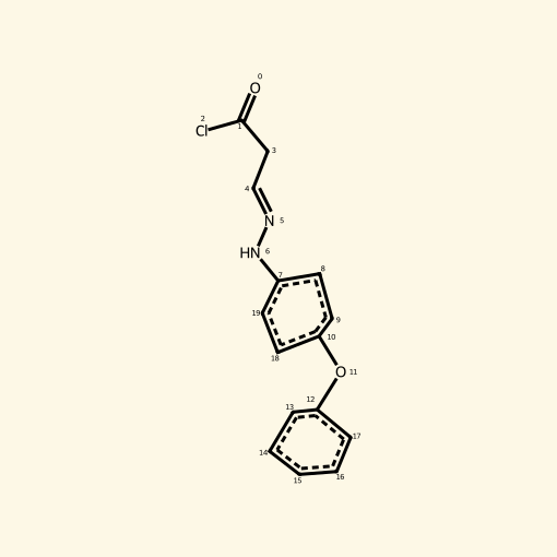 O=C(Cl)CC=NNc1ccc(Oc2ccccc2)cc1